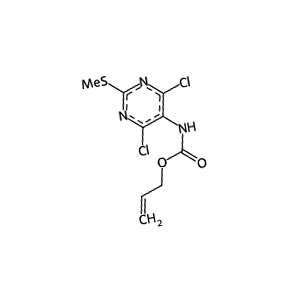 C=CCOC(=O)Nc1c(Cl)nc(SC)nc1Cl